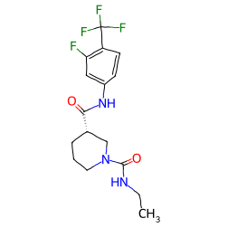 CCNC(=O)N1CCC[C@H](C(=O)Nc2ccc(C(F)(F)F)c(F)c2)C1